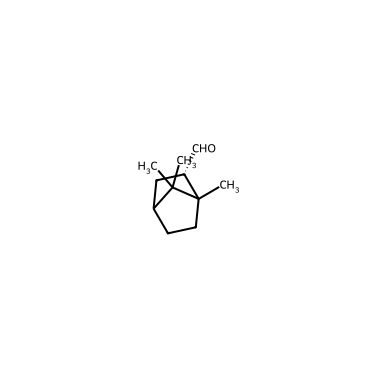 CC1(C)C2CCC1(C)[C@@H](C=O)C2